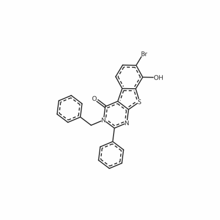 O=c1c2c(nc(-c3ccccc3)n1Cc1ccccc1)sc1c(O)c(Br)ccc12